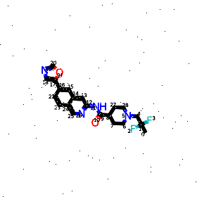 CC(F)(F)CN1CCC(C(=O)Nc2cc3cc(-c4cnco4)ccc3cn2)CC1